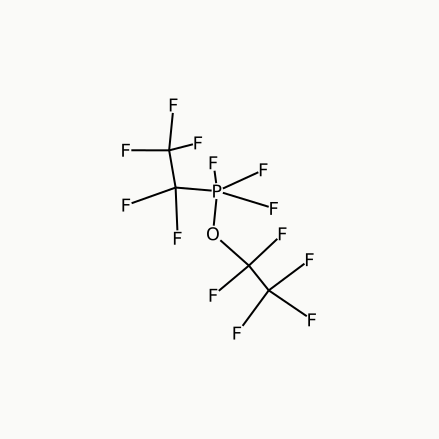 FC(F)(F)C(F)(F)OP(F)(F)(F)C(F)(F)C(F)(F)F